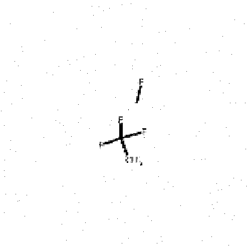 CC(F)(F)F.[C]F